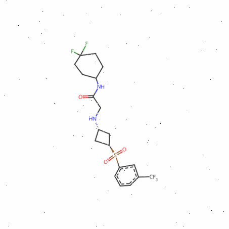 O=C(CN[C@H]1C[C@H](S(=O)(=O)c2cccc(C(F)(F)F)c2)C1)NC1CCC(F)(F)CC1